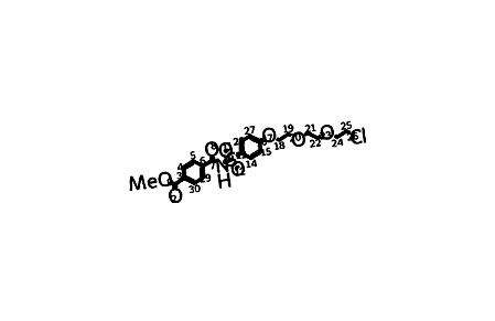 COC(=O)c1ccc(C(=O)NS(=O)(=O)c2ccc(OCCOCCOCCCl)cc2)cc1